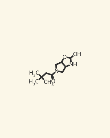 CC(C)(C)CC(=O)N1CC2NC(O)OC2C1